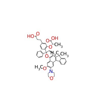 COc1cc2c3c(c4c(c2cc1N1CCOCC1)-c1ccccc1C4(C)C)C=CC(c1ccccc1)(c1ccc(CCC(=O)O)cc1OC(C)C(=O)O)O3